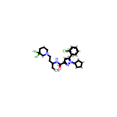 N#CCC(CCN1CCCC(F)(F)C1)NC(=O)c1cc(-c2ccccc2Cl)n(C2CCCC2)n1